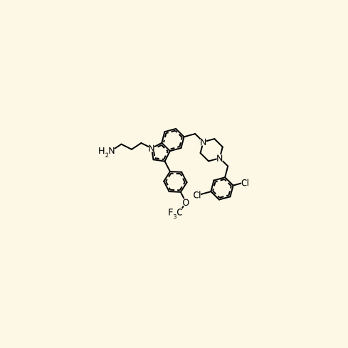 NCCCn1cc(-c2ccc(OC(F)(F)F)cc2)c2cc(CN3CCN(Cc4cc(Cl)ccc4Cl)CC3)ccc21